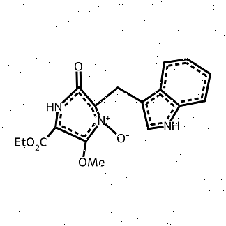 CCOC(=O)c1[nH]c(=O)c(Cc2c[nH]c3ccccc23)[n+]([O-])c1OC